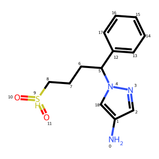 Nc1cnn(C(CCC[SH](=O)=O)c2ccccc2)c1